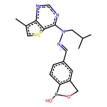 Cc1csc2c(N(CC(C)C)/N=C/c3ccc4c(c3)COB4O)ncnc12